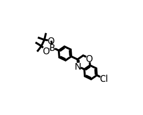 CC1(C)OB(c2ccc(C3=Nc4ccc(Cl)cc4OC3)cc2)OC1(C)C